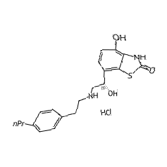 CCCc1ccc(CCNC[C@@H](O)c2ccc(O)c3[nH]c(=O)sc23)cc1.Cl